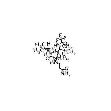 CC(C)(C)C(NC(=O)C(F)(F)F)C(=O)N1C[C@H]2[C@@H]([C@H]1C(=O)NNCCC(N)=O)C2(C)C